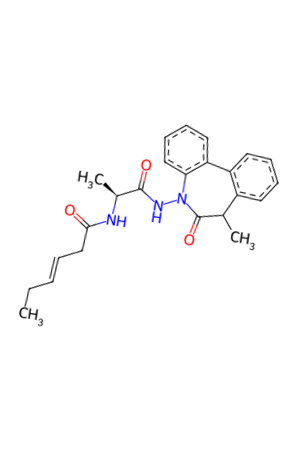 CC/C=C/CC(=O)N[C@@H](C)C(=O)NN1C(=O)C(C)c2ccccc2-c2ccccc21